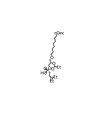 CCCCCCCCCCCCCCCCCCOCC(COP(=O)(O)CCN(CC)CC)OC(=O)CC